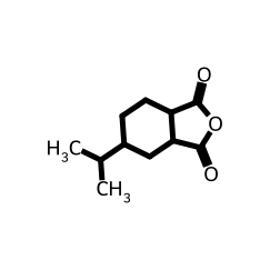 CC(C)C1CCC2C(=O)OC(=O)C2C1